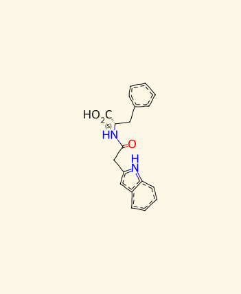 O=C(Cc1cc2ccccc2[nH]1)N[C@@H](Cc1ccccc1)C(=O)O